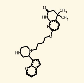 CC1(C)CC(=O)Nc2nc(OCCCCN3CCNCC3c3ccc4cccoc3-4)ccc21